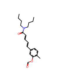 CCCCN(CCCC)C(=O)/C=C/C=C/c1ccc(C)c(OC=O)c1